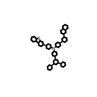 c1ccc(-c2cc(-c3ccccc3)cc(-c3ccc(N(c4ccc(-c5cccc(-c6ccc7ccccc7c6)c5)cc4)c4ccc(-c5ccc6c(c5)sc5ccccc56)cc4)cc3)c2)cc1